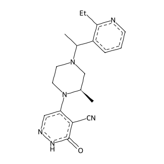 CCc1ncccc1C(C)N1CCN(c2cn[nH]c(=O)c2C#N)[C@H](C)C1